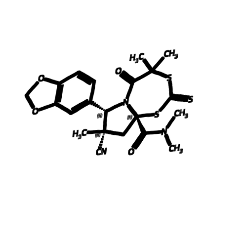 CN(C)C(=O)[C@@]12C[C@](C)(C#N)[C@H](c3ccc4c(c3)OCO4)N1C(=O)C(C)(C)SC(=S)S2